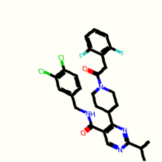 CC(C)c1ncc(C(=O)NCc2ccc(Cl)c(Cl)c2)c(C2CCN(C(=O)Cc3c(F)cccc3F)CC2)n1